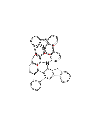 c1ccc(-c2ccccc2-c2ccccc2N(c2ccccc2-c2cccc3sc4ccccc4c23)c2c3c(cc(-c4ccccc4)c2-c2ccccc2)-c2ccccc2C3)cc1